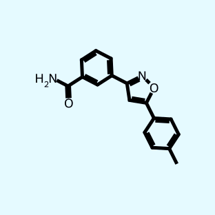 Cc1ccc(-c2cc(-c3cccc(C(N)=O)c3)no2)cc1